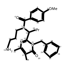 COc1ccc(C(=O)N(CCCN)C(c2nc(C)c(C)c(=O)n2Cc2ccccc2)C(C)C)cc1